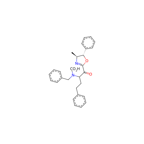 C[C@@H]1N=C(C(=O)C(CCc2ccccc2)N(Cc2ccccc2)C(=O)O)O[C@H]1c1ccccc1